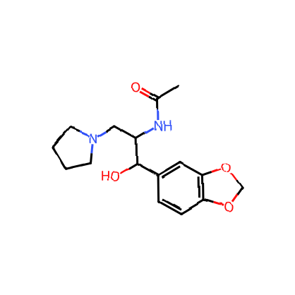 CC(=O)NC(CN1CCCC1)C(O)c1ccc2c(c1)OCO2